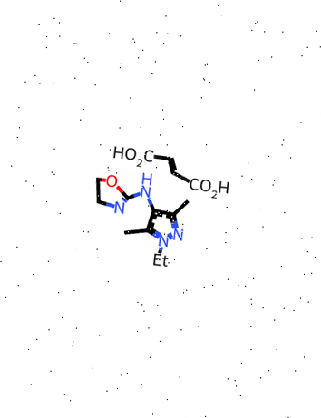 CCn1nc(C)c(NC2=NCCO2)c1C.O=C(O)C=CC(=O)O